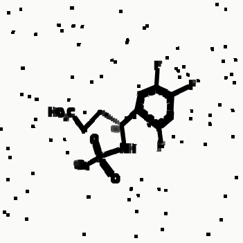 CC(C)(C)S(=O)(=O)N[C@H](CCC(=O)O)c1cc(F)c(F)cc1F